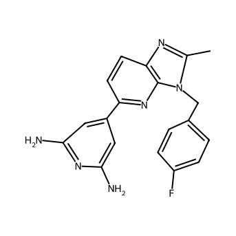 Cc1nc2ccc(-c3cc(N)nc(N)c3)nc2n1Cc1ccc(F)cc1